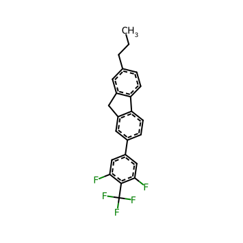 CCCc1ccc2c(c1)Cc1cc(-c3cc(F)c(C(F)(F)F)c(F)c3)ccc1-2